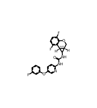 O=C(Nc1ccc(Oc2cccc(F)c2)cn1)NC1[C@H]2COc3c(F)ccc(F)c3[C@@H]12